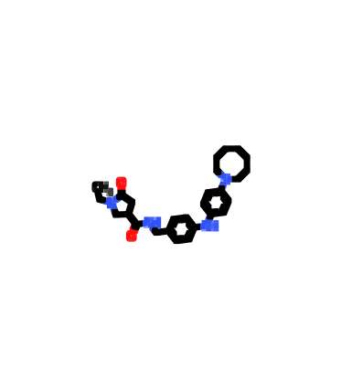 CCN1CC(C(=O)NCc2ccc(Nc3ccc(N4CCCCCCC4)cc3)cc2)CC1=O